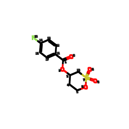 O=C(OC1CCOS(=O)(=O)C1)c1ccc(F)cc1